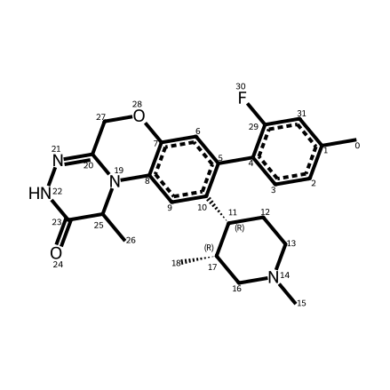 Cc1ccc(-c2cc3c(cc2[C@@H]2CCN(C)C[C@@H]2C)N2C(=NNC(=O)C2C)CO3)c(F)c1